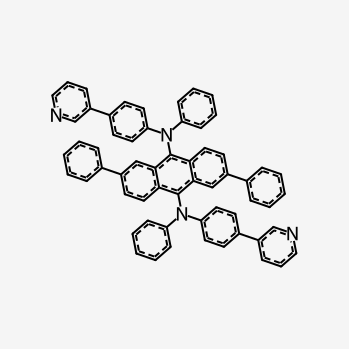 c1ccc(-c2ccc3c(N(c4ccccc4)c4ccc(-c5cccnc5)cc4)c4cc(-c5ccccc5)ccc4c(N(c4ccccc4)c4ccc(-c5cccnc5)cc4)c3c2)cc1